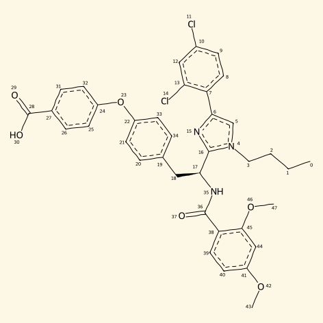 CCCCn1cc(-c2ccc(Cl)cc2Cl)nc1[C@H](Cc1ccc(Oc2ccc(C(=O)O)cc2)cc1)NC(=O)c1ccc(OC)cc1OC